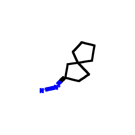 [N-]=[N+]=C1CCC2(CCCC2)C1